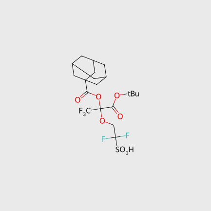 CC(C)(C)OC(=O)C(OCC(F)(F)S(=O)(=O)O)(OC(=O)C12CC3CC(CC(C3)C1)C2)C(F)(F)F